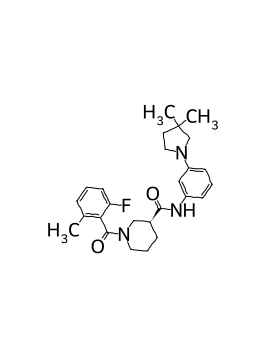 Cc1cccc(F)c1C(=O)N1CCC[C@H](C(=O)Nc2cccc(N3CCC(C)(C)C3)c2)C1